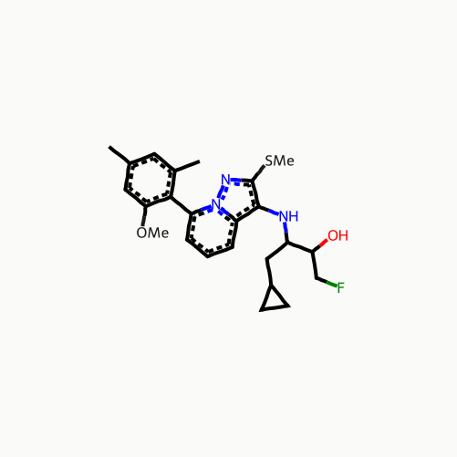 COc1cc(C)cc(C)c1-c1cccc2c(NC(CC3CC3)C(O)CF)c(SC)nn12